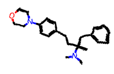 CN(C)C(C)(CCc1ccc(N2CCOCC2)cc1)Cc1ccccc1